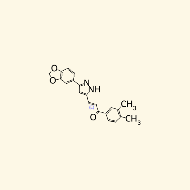 Cc1ccc(C(=O)/C=C/c2cc(-c3ccc4c(c3)OCO4)n[nH]2)cc1C